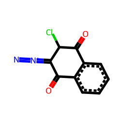 [N-]=[N+]=C1C(=O)c2ccccc2C(=O)C1Cl